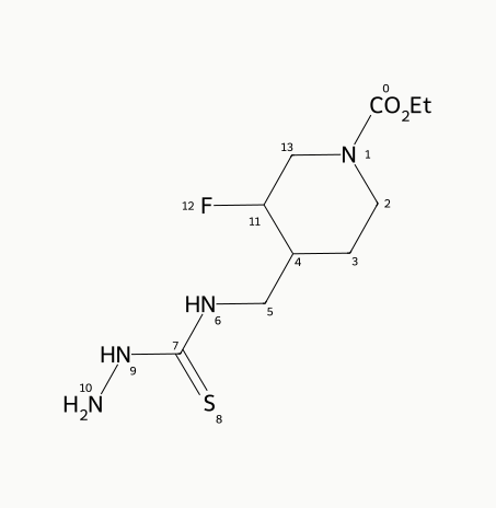 CCOC(=O)N1CCC(CNC(=S)NN)C(F)C1